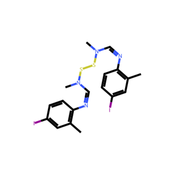 Cc1cc(I)ccc1/N=C\N(C)SSN(C)/C=N\c1ccc(I)cc1C